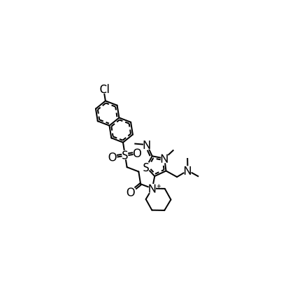 C/N=c1\sc([N+]2(C(=O)CCS(=O)(=O)c3ccc4cc(Cl)ccc4c3)CCCCC2)c(CN(C)C)n1C